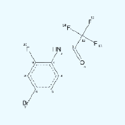 O=C(Nc1ccc(Br)cc1F)C(F)(F)F